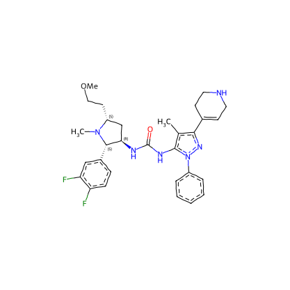 COCC[C@@H]1C[C@@H](NC(=O)Nc2c(C)c(C3=CCNCC3)nn2-c2ccccc2)[C@H](c2ccc(F)c(F)c2)N1C